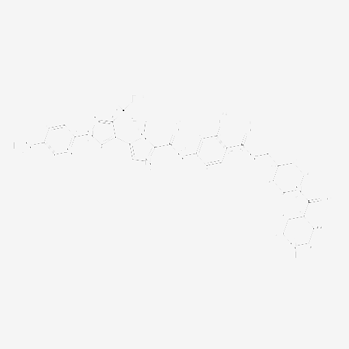 Cn1c(-c2cn(-c3ccc(N)cn3)nc2C(F)(F)F)cnc1C(=O)Nc1ccc(C(=O)NCC2CCN(C(=O)C3CCNCC3)CC2)c(Cl)c1